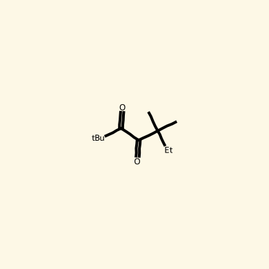 CCC(C)(C)C(=O)C(=O)C(C)(C)C